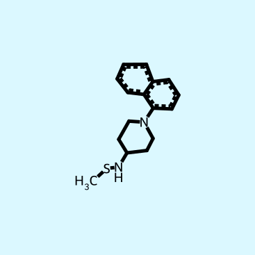 CSNC1CCN(c2cccc3ccccc23)CC1